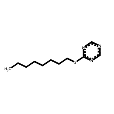 CCCCCCCCSc1n[c]ncn1